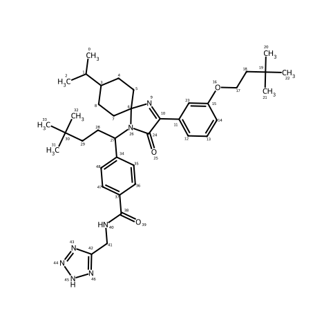 CC(C)C1CCC2(CC1)N=C(c1cccc(OCCC(C)(C)C)c1)C(=O)N2C(CCC(C)(C)C)c1ccc(C(=O)NCc2nn[nH]n2)cc1